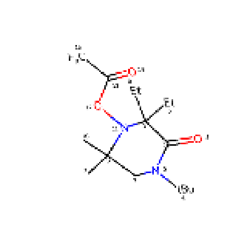 CCC1(CC)C(=O)N(C(C)(C)C)CC(C)(C)N1OC(=O)C(F)(F)F